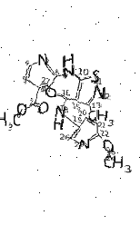 COC(=O)c1ccnc(Nc2snc(C)c2C(=O)Nc2ccc(OC)nc2)c1